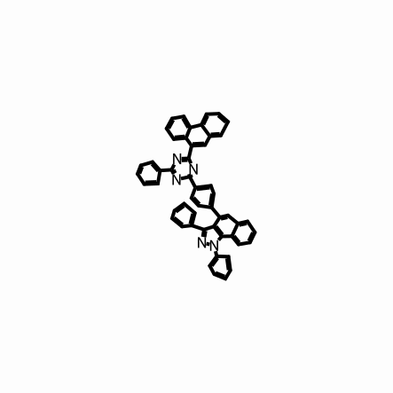 c1ccc(-c2nc(-c3ccc(-c4cc5ccccc5c5c4c(-c4ccccc4)nn5-c4ccccc4)cc3)nc(-c3cc4ccccc4c4ccccc34)n2)cc1